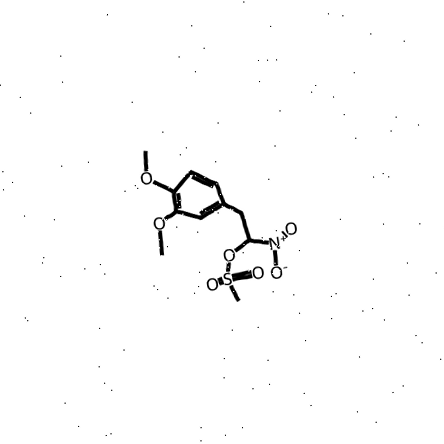 COc1ccc(CC(OS(C)(=O)=O)[N+](=O)[O-])cc1OC